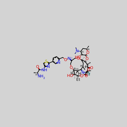 CCC(=O)/N=C1\[C@H](C)C[C@@]2(C)OC/C(=N/OCc3ccc(-c4nc(NC(=O)[C@H](C)N)cs4)cn3)CO[C@H]([C@H]1C)[C@](C)(O)[C@@H](CC)OC(=O)[C@@](C)(F)C(=O)[C@H](C)[C@H]2O[C@@H]1O[C@H](C)C[C@H](N(C)C)[C@H]1O